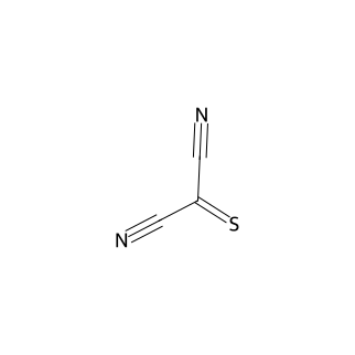 N#CC(=S)C#N